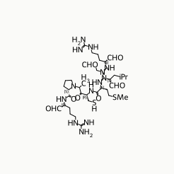 CSCC[C@H](NN([C@H](C=O)CC(C)C)N(CC=O)N[C@H](C=O)CCCNC(=N)N)C(=O)N[C@@H](CS)C(=O)C(C)N1CCC[C@H]1C(=O)N[C@H](C=O)CCCNC(=N)N